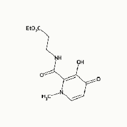 CCOC(=O)CCNC(=O)c1c(O)c(=O)ccn1C